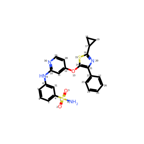 NS(=O)(=O)c1cccc(Nc2cc(Oc3sc(C4CC4)nc3-c3ccccc3)ccn2)c1